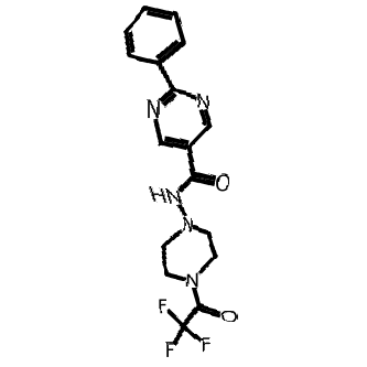 O=C(NN1CCN(C(=O)C(F)(F)F)CC1)c1cnc(-c2ccccc2)nc1